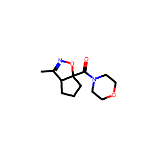 CC1=NOC2(C(=O)N3CCOCC3)CCCC12